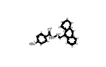 CC(C)(C)c1ccc(C(=O)NN=Cc2c3ccccc3cc3ccccc23)cc1